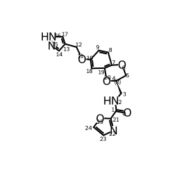 O=C(NC[C@@H]1COc2ccc(OCc3cn[nH]c3)cc2O1)c1ncco1